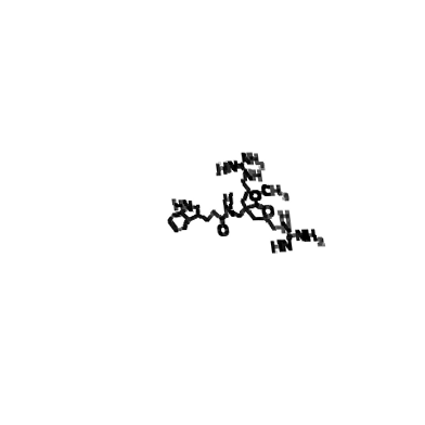 COC(=O)C(CCCNC(=N)N)(CCCNC(=N)N)CNC(=O)CCc1c[nH]c2ccccc12